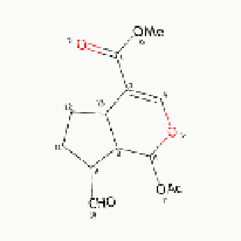 COC(=O)C1=COC(OC(C)=O)C2C(C=O)CCC12